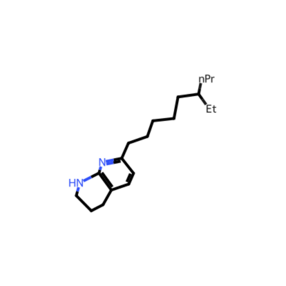 CCCC(CC)CCCCCc1ccc2c(n1)NCCC2